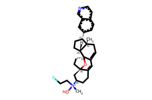 C[C@]12CC=C3C=C4CC[C@@H]([N+](C)(O)CCF)C[C@]45CC[C@]3(O5)[C@@H]1CC[C@@H]2c1ccc2ccncc2c1